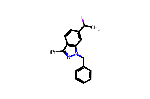 CC(C)c1nn(Cc2ccccc2)c2cc(C(C)I)ccc12